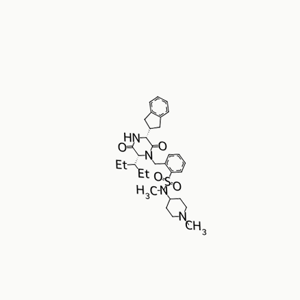 CCC(CC)[C@@H]1C(=O)N[C@H](C2Cc3ccccc3C2)C(=O)N1Cc1ccccc1S(=O)(=O)N(C)C1CCN(C)CC1